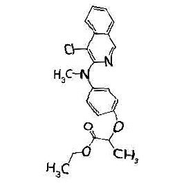 CCOC(=O)C(C)Oc1ccc(N(C)c2ncc3ccccc3c2Cl)cc1